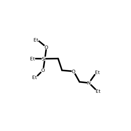 CCO[Si](CC)(CCOCN(CC)CC)OCC